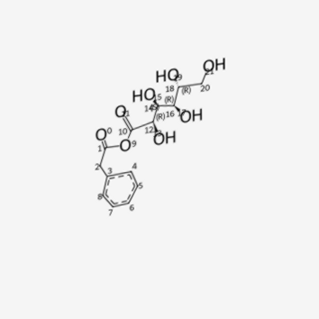 O=C(Cc1ccccc1)OC(=O)[C@H](O)[C@@H](O)[C@H](O)[C@H](O)CO